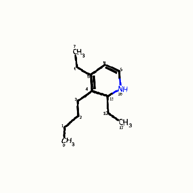 CCCCC1=C(CC)C=CNC1CC